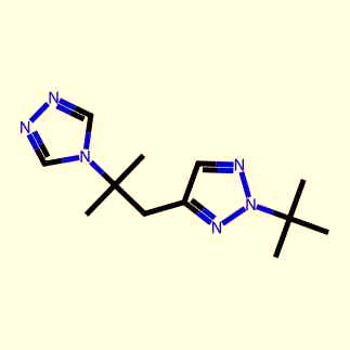 CC(C)(C)n1ncc(CC(C)(C)n2cnnc2)n1